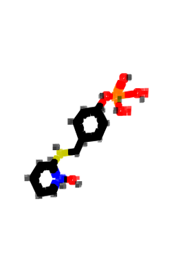 O=P(O)(O)Oc1ccc(CSc2cccc[n+]2[O-])cc1